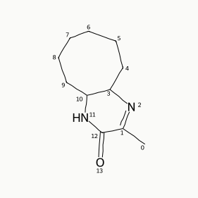 CC1=NC2CCCCCCC2NC1=O